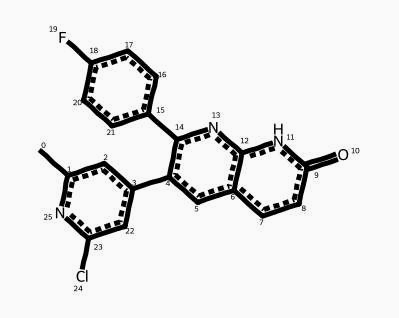 Cc1cc(-c2cc3ccc(=O)[nH]c3nc2-c2ccc(F)cc2)cc(Cl)n1